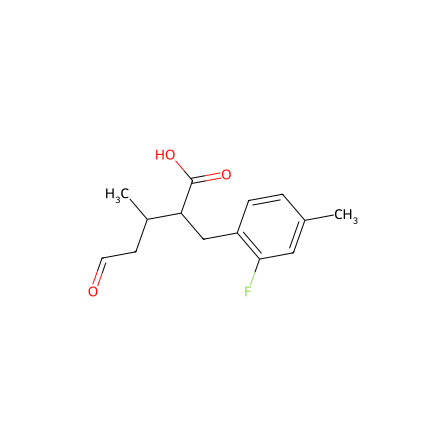 Cc1ccc(CC(C(=O)O)C(C)CC=O)c(F)c1